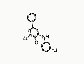 CCn1nc(-c2ccccc2)cc(Nc2cccc(Cl)c2)c1=O